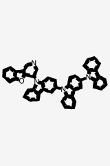 c1ccc2c(c1)oc1c(-n3c4ccccc4c4cc(-n5c6ccccc6c6cc(-n7c8ccccc8c8ccccc87)ccc65)ccc43)cncc12